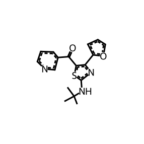 CC(C)(C)Nc1nc(-c2ccco2)c(C(=O)c2cccnc2)s1